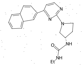 CCNC(=O)N[C@H]1CCN(c2nccc(-c3ccc4ccccc4c3)n2)C1